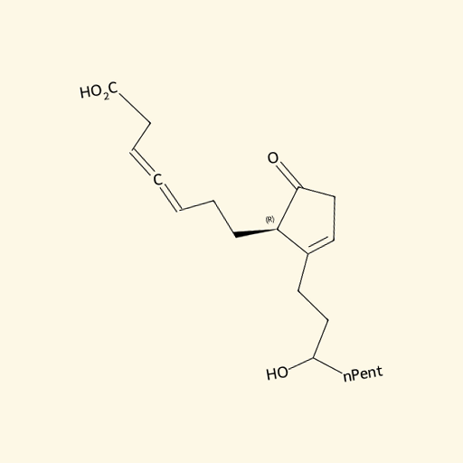 CCCCCC(O)CCC1=CCC(=O)[C@@H]1CCC=C=CCC(=O)O